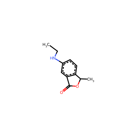 CCNc1ccc2c(c1)C(=O)OC2C